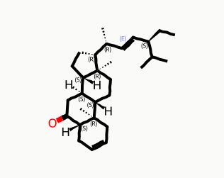 CC[C@H](/C=C/[C@@H](C)[C@H]1CC[C@H]2[C@@H]3CC(=O)[C@H]4CC=CC[C@]4(C)[C@H]3CC[C@]12C)C(C)C